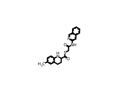 Cc1ccc2c(c1)CCC(C(=O)SCC(=O)Nc1cc3ccccc3cn1)N2